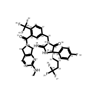 CNc1ncc2c(n1)CN(C(=O)c1cc(CN3C(=N)N[C@](CCCC(F)(F)F)(c4ccc(F)cc4)C3=O)ccc1C(F)(F)F)C2